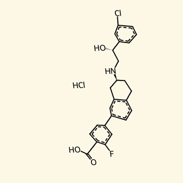 Cl.O=C(O)c1ccc(-c2ccc3c(c2)C[C@@H](NC[C@H](O)c2cccc(Cl)c2)CC3)cc1F